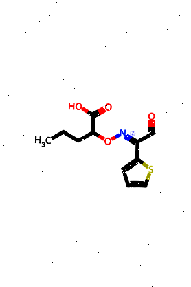 CCCC(O/N=C(/[C]=O)c1cccs1)C(=O)O